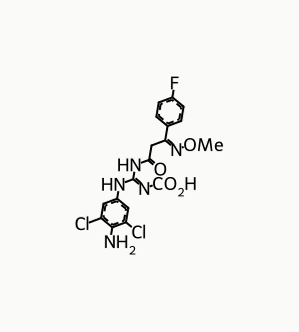 CON=C(CC(=O)NC(=NC(=O)O)Nc1cc(Cl)c(N)c(Cl)c1)c1ccc(F)cc1